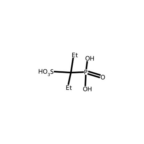 CCC(CC)(P(=O)(O)O)S(=O)(=O)O